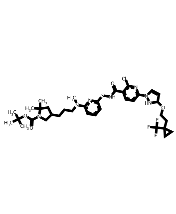 CN(CCCC1CN(C(=O)OC(C)(C)C)C(C)(C)C1)c1cccc(SNC(=O)c2ccc(N3C=CC(OCCC4(C(F)(F)F)CC4)N3)nc2Cl)n1